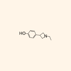 CCN1CC(c2ccc(O)cc2)C1